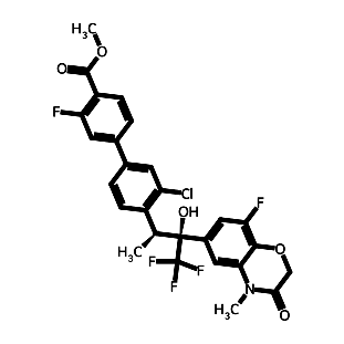 COC(=O)c1ccc(-c2ccc([C@H](C)[C@](O)(c3cc(F)c4c(c3)N(C)C(=O)CO4)C(F)(F)F)c(Cl)c2)cc1F